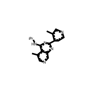 Cc1cnccc1-c1nc(NC(C)C)c2c(C)cncc2n1